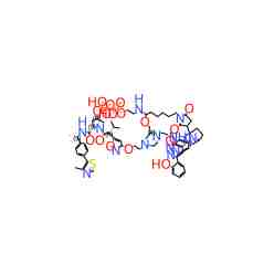 Cc1ncsc1-c1ccc([C@H](C)NC(=O)[C@@H]2C[C@@H](OP(=O)(O)OP(=O)(O)OCCNC(=O)CCCCCN3C(=O)CC(C)C3=O)CN2C(=O)[C@@H](c2cc(OCCN3CCN(CCOc4cc(N5C6CCC5CN(c5cc(-c7ccccc7O)nnc5N)C6)ccn4)[C@H](C)C3)no2)C(C)C)cc1